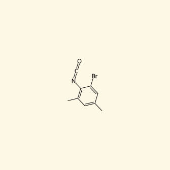 Cc1cc(C)c(N=C=O)c(Br)c1